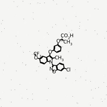 Cc1c(Oc2cccc(O[C@@H](C)C(=O)O)c2)c2cc(OC(F)(F)F)ccc2n1-c1noc2cc(Cl)ccc12